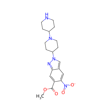 COC(=O)c1cc2nn(C3CCN(C4CCNCC4)CC3)cc2cc1[N+](=O)[O-]